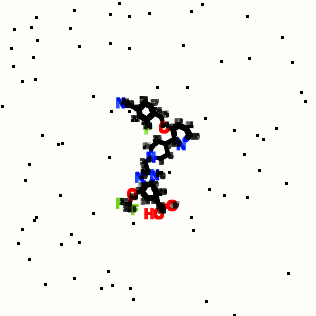 Cn1c(CN2CCC(c3ncccc3OCc3ccc(C#N)cc3F)CC2)nc2c(OC(F)F)cc(C(=O)O)cc21